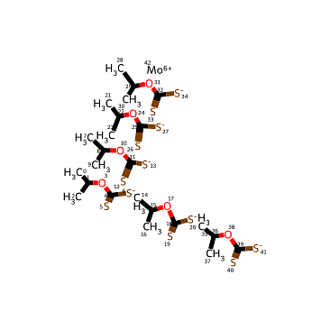 CC(C)OC(=S)[S-].CC(C)OC(=S)[S-].CC(C)OC(=S)[S-].CC(C)OC(=S)[S-].CC(C)OC(=S)[S-].CC(C)OC(=S)[S-].[Mo+6]